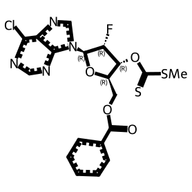 CSC(=S)O[C@H]1[C@@H](F)[C@H](n2cnc3c(Cl)ncnc32)O[C@@H]1COC(=O)c1ccccc1